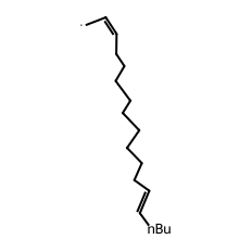 [CH2]/C=C\CCCCCCCCC/C=C/CCCC